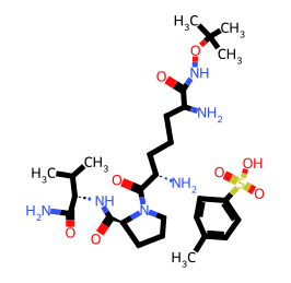 CC(C)[C@H](NC(=O)[C@@H]1CCCN1C(=O)[C@@H](N)CCCC(N)C(=O)NOC(C)(C)C)C(N)=O.Cc1ccc(S(=O)(=O)O)cc1